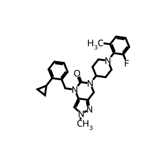 Cc1cccc(F)c1N1CCC(N2Cc3nn(C)cc3N(Cc3ccccc3C3CC3)C2=O)CC1